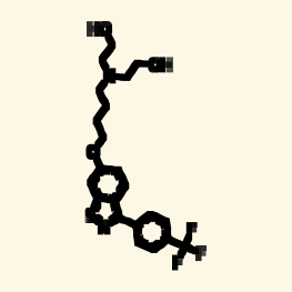 OCCN(CCO)CCCCOc1ccc2c(-c3ccc(C(F)(F)F)cc3)nsc2c1